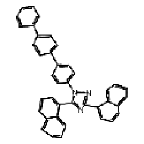 c1ccc(-c2ccc(-c3ccc(-n4nc(-c5cccc6ccccc56)nc4-c4cccc5ccccc45)cc3)cc2)cc1